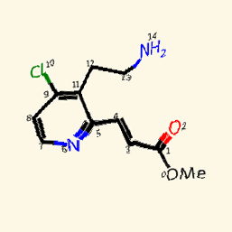 COC(=O)C=Cc1nccc(Cl)c1CCN